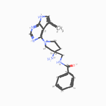 Cc1c[nH]c2ncnc(N3CC[C@](N)(CNC(=O)c4ccccc4)C3)c12